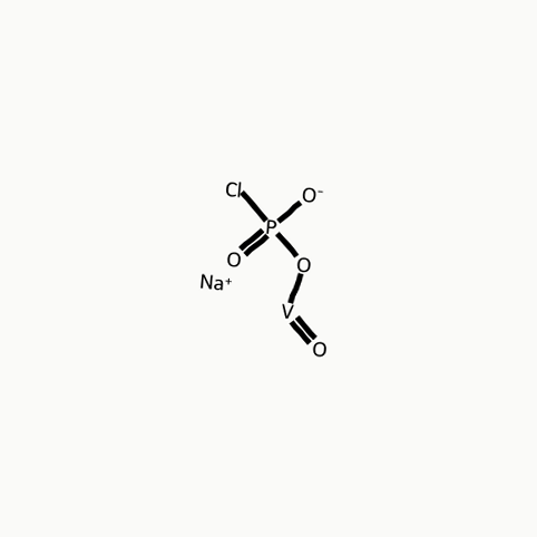 [Na+].[O]=[V][O]P(=O)([O-])Cl